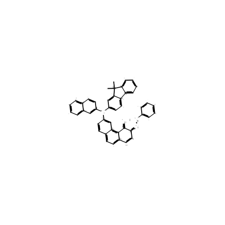 CC1(C)c2ccccc2-c2ccc(N(c3ccc4ccccc4c3)c3ccc4ccc5c(c4c3)C(=N)/C(=N\Nc3ccccc3)C=C5)cc21